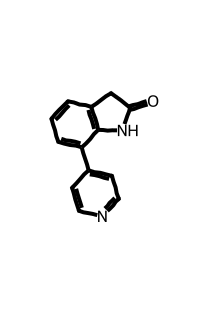 O=C1Cc2cccc(-c3ccncc3)c2N1